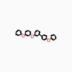 c1ccc(Oc2ccc(-c3cccc(Oc4cccc(Oc5ccccc5)c4)c3)cc2)cc1